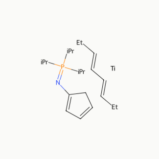 CC(C)P(=NC1=CC=CC1)(C(C)C)C(C)C.CCC=CC=CCC.[Ti]